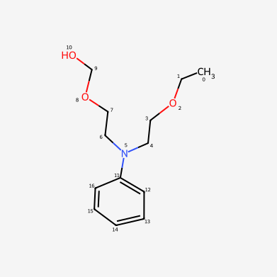 CCOCCN(CCOCO)c1ccccc1